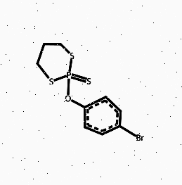 S=P1(Oc2ccc(Br)cc2)SCCCS1